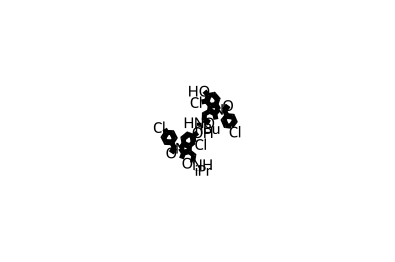 CCCCNC(=O)Cc1c(C)n(C(=O)c2ccc(Cl)cc2)c2ccc(O)c(Cl)c12.Cc1c(CC(=O)NC(C)C)c2c(Cl)c(O)ccc2n1C(=O)c1ccc(Cl)cc1